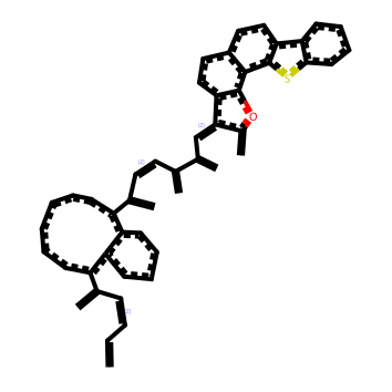 C=C/C=C\C(=C)c1ccccccc(C(=C)/C=C\C(=C)C(=C)/C=c2\c(=C)oc3c2ccc2ccc4c5ccccc5sc4c23)c2ccccc12